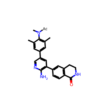 CC(=O)N(C)c1c(C)cc(-c2cnc(N)c(-c3ccc4c(c3)CCNC4=O)c2)cc1C